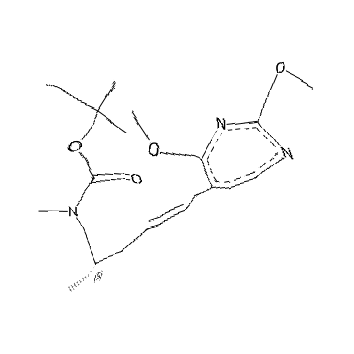 COc1ncc(C=CC[C@H](C)N(C)C(=O)OC(C)(C)C)c(OC)n1